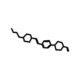 C=CC1CCC(c2ccc(C=CC3CCC(CCCC)CC3)cc2)CC1